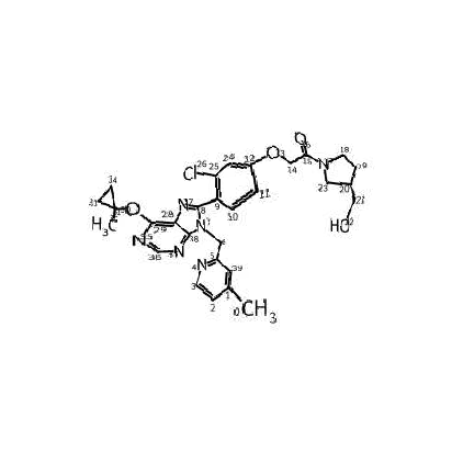 Cc1ccnc(Cn2c(-c3ccc(OCC(=O)N4CC[C@@H](CO)C4)cc3Cl)nc3c(OC4(C)CC4)ncnc32)c1